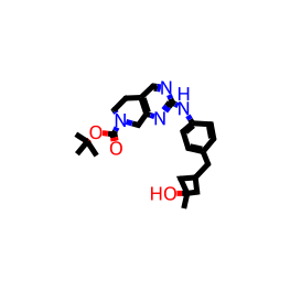 CC1(O)CC(Cc2ccc(Nc3ncc4c(n3)CN(C(=O)OC(C)(C)C)CC4)cc2)C1